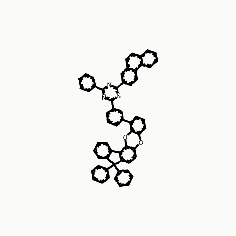 c1ccc(-c2nc(-c3cccc(-c4cccc5c4Oc4c(ccc6c4-c4ccccc4C6(c4ccccc4)c4ccccc4)O5)c3)nc(-c3ccc4c(ccc5ccccc54)c3)n2)cc1